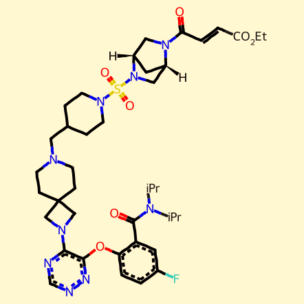 CCOC(=O)/C=C/C(=O)N1C[C@@H]2C[C@H]1CN2S(=O)(=O)N1CCC(CN2CCC3(CC2)CN(c2ncnnc2Oc2ccc(F)cc2C(=O)N(C(C)C)C(C)C)C3)CC1